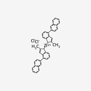 CC1=Cc2c(-c3ccc4ccccc4c3)cccc2[CH]1[Zr+2][CH]1C(C)=Cc2c(-c3ccc4ccccc4c3)cccc21.[Cl-].[Cl-]